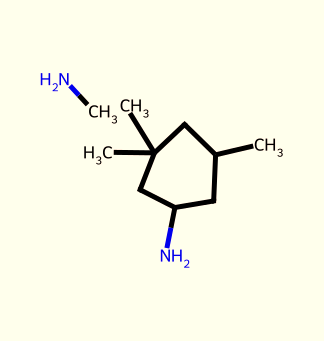 CC1CC(N)CC(C)(C)C1.CN